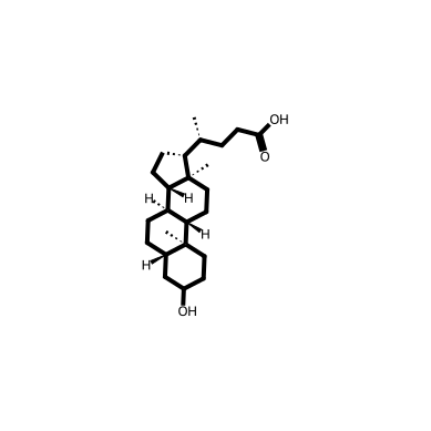 C[C@H](CCC(=O)O)[C@H]1CC[C@H]2[C@@H]3CC[C@H]4CC(O)CC[C@]4(C)[C@H]3CC[C@]12C